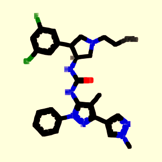 COCCN1CC(c2cc(F)cc(Cl)c2)[C@H](NC(=O)Nc2c(C)c(-c3cnn(C)c3)nn2-c2ccccc2)C1